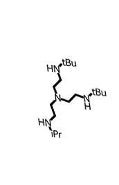 CC(C)NCCN(CCNC(C)(C)C)CCNC(C)(C)C